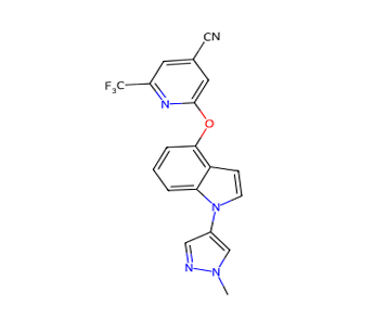 Cn1cc(-n2ccc3c(Oc4cc(C#N)cc(C(F)(F)F)n4)cccc32)cn1